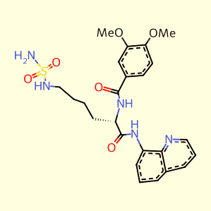 COc1ccc(C(=O)N[C@@H](CCCCNS(N)(=O)=O)C(=O)Nc2cccc3cccnc23)cc1OC